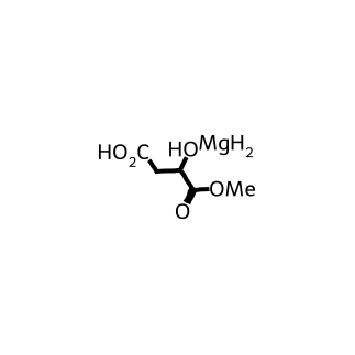 COC(=O)C(O)CC(=O)O.[MgH2]